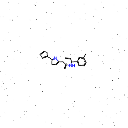 C=CC(NC(=C)CC1=CCC(C2=CC=CC2)=N1)c1cccc(C)c1